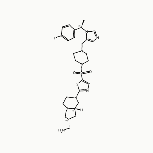 C[C@H](c1ccc(F)cc1)n1cncc1CN1CCN(S(=O)(=O)c2cnc(N3CCN4C[C@@H](CN)C[C@H]4C3)s2)CC1